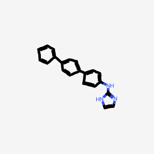 [c]1ccc(-c2ccc(-c3ccc(Nc4ncc[nH]4)cc3)cc2)cc1